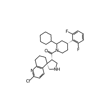 O=C([C@@H]1CNC[C@]12CCCc1nc(Cl)ccc12)N1CC[C@@H](c2c(F)cccc2F)CC1C1CCCCC1